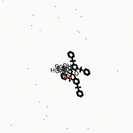 CC(C)(c1ccccc1)c1ccc(OC(c2ccc(C(C)(C)c3ccccc3)cc2C(C)(C)c2ccccc2)C(CO)(CO)COP(=O)(O)OP(=O)(O)O)c(C(C)(C)c2ccccc2)c1